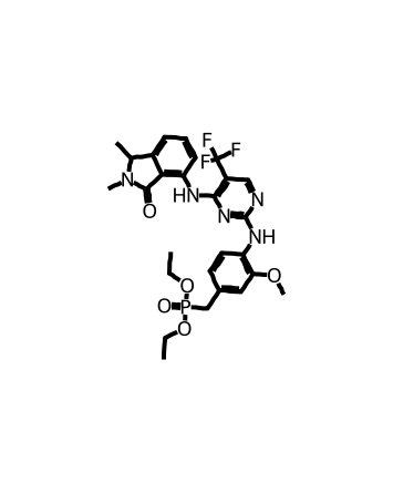 CCOP(=O)(Cc1ccc(Nc2ncc(C(F)(F)F)c(Nc3cccc4c3C(=O)N(C)C4C)n2)c(OC)c1)OCC